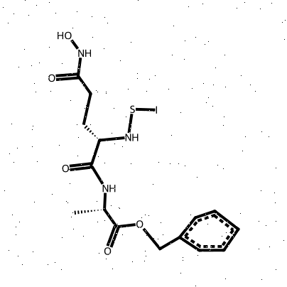 C[C@H](NC(=O)[C@H](CCC(=O)NO)NSI)C(=O)OCc1ccccc1